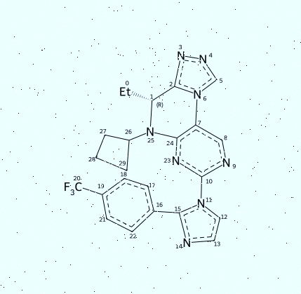 CC[C@@H]1c2nncn2-c2cnc(-n3ccnc3-c3ccc(C(F)(F)F)cc3)nc2N1C1CCC1